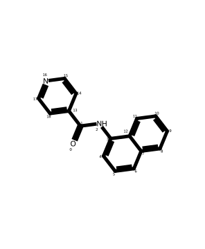 O=C(Nc1cccc2ccccc12)c1ccncc1